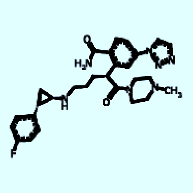 CN1CCN(C(=O)[C@@H](CCCN[C@@H]2C[C@H]2c2ccc(F)cc2)c2cc(-n3ccnn3)ccc2C(N)=O)CC1